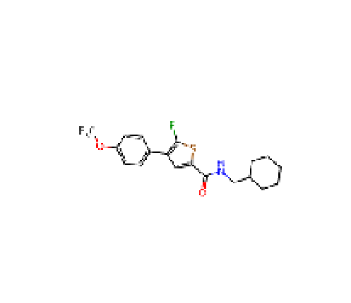 O=C(NCC1CCCCC1)c1cc(-c2ccc(OC(F)(F)F)cc2)c(F)s1